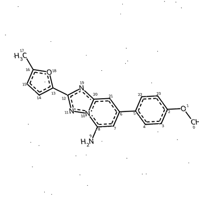 COc1ccc(-c2cc(N)n3nc(-c4ccc(C)o4)nc3c2)cc1